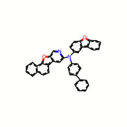 c1ccc(-c2ccc(N(c3ccc4oc5ccccc5c4c3)c3cc4c(cn3)oc3c5ccccc5ccc43)cc2)cc1